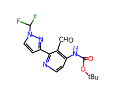 CC(C)(C)OC(=O)Nc1ccnc(-c2ccn(C(F)F)n2)c1C=O